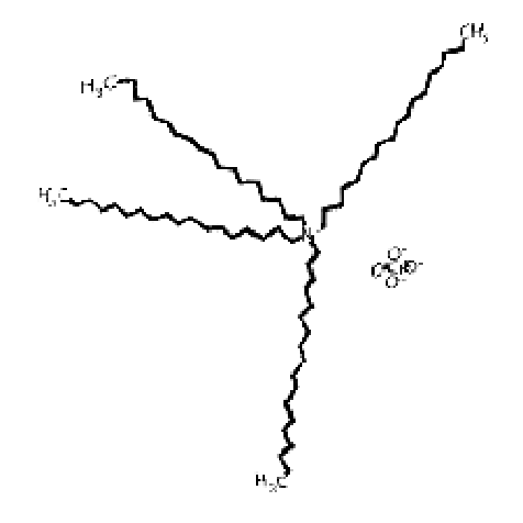 CCCCCCCCCCCCCCCCCC[N+](CCCCCCCCCCCCCCCCCC)(CCCCCCCCCCCCCCCCCC)CCCCCCCCCCCCCCCCCC.[O-][Cl+3]([O-])([O-])[O-]